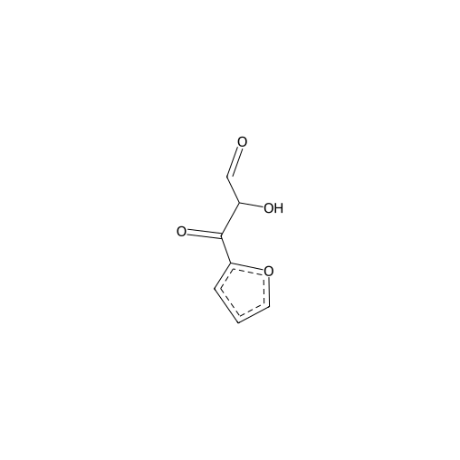 O=CC(O)C(=O)c1ccco1